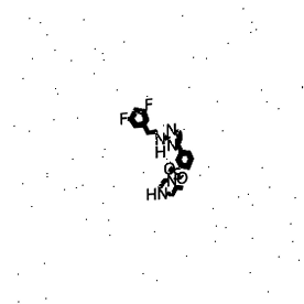 CC1CNCCN1S(=O)(=O)c1cccc(-c2ccnc(NCCc3cc(F)cc(F)c3)n2)c1